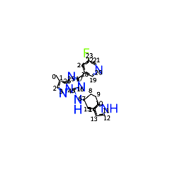 Cc1cnn2c(NC3CCc4[nH]ccc4C3)nc(-c3cncc(F)c3)nc12